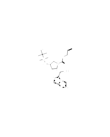 C=CCOC(=O)N1C[C@H](O[Si](C)(C)C(C)(C)C)C[C@H]1C(O)c1ncc2sccn12